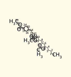 CCCCCCCC(CCCN(CCCc1ccc(C(=O)OCC)cc1)S(C)(=O)=O)OC(C)=O